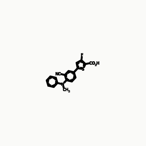 CN(c1ccccc1)c1ccc(-c2cc(F)c(C(=O)O)s2)cc1C#N